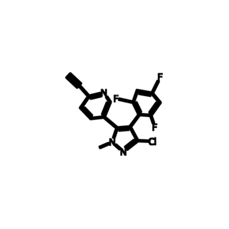 C#Cc1ccc(-c2c(-c3c(F)cc(F)cc3F)c(Cl)nn2C)cn1